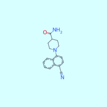 N#Cc1ccc(N2CCC(C(N)=O)CC2)c2ccccc12